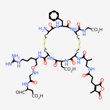 CC1=C(CCC(=O)NCC(C)C(=O)NC2CSSCC(C(=O)NCC(=O)O)NC(=O)C(Cc3ccccc3)NC(=O)C(N)CSSCC(C(=O)NC(CCCNC(=N)N)CONCC(=O)NC(C=O)CC(=O)O)NC(=O)C(CC(=O)O)NC2=O)C(=O)OC1=O